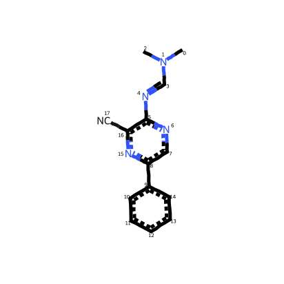 CN(C)/C=N/c1ncc(-c2ccccc2)nc1C#N